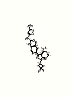 CC(C)(C)c1cc(NC(=O)Nc2ccc(-c3nn(C4CC(F)(F)C4)c4ncnc(N)c34)cc2F)on1